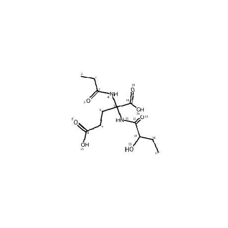 CCC(=O)NC(CCC(=O)O)(NC(=O)C(O)CC)C(=O)O